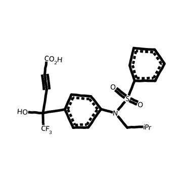 CC(C)CN(c1ccc(C(O)(C#CC(=O)O)C(F)(F)F)cc1)S(=O)(=O)c1ccccc1